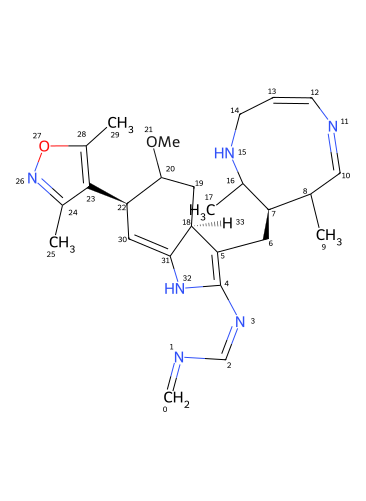 C=N/C=N\C1=C(C[C@@H]2C(C)/C=N\C=C/CNC2C)[C@@H]2CC(OC)[C@H](c3c(C)noc3C)C=C2N1